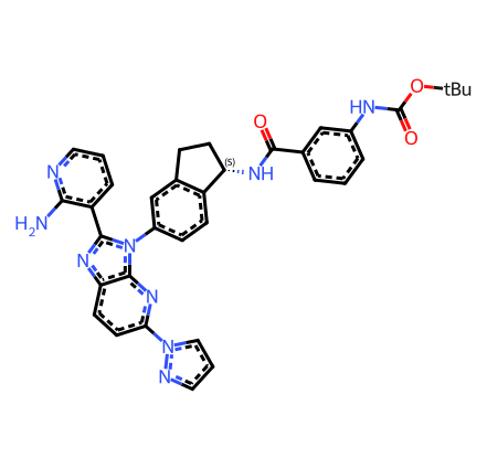 CC(C)(C)OC(=O)Nc1cccc(C(=O)N[C@H]2CCc3cc(-n4c(-c5cccnc5N)nc5ccc(-n6cccn6)nc54)ccc32)c1